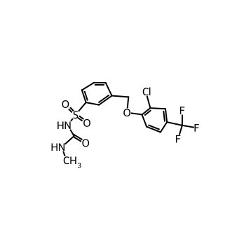 CNC(=O)NS(=O)(=O)c1cccc(COc2ccc(C(F)(F)F)cc2Cl)c1